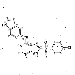 O=S(=O)(c1ccc(Cl)cc1)c1cc2c(Nc3ccc4[nH]ncc4c3)ncnc2[nH]1